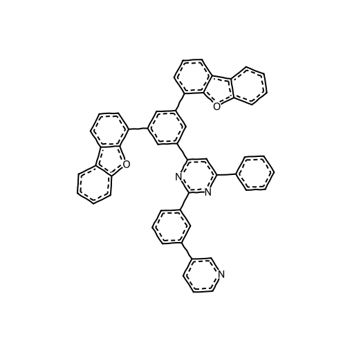 c1ccc(-c2cc(-c3cc(-c4cccc5c4oc4ccccc45)cc(-c4cccc5c4oc4ccccc45)c3)nc(-c3cccc(-c4cccnc4)c3)n2)cc1